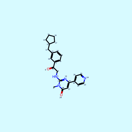 Cn1c(NCC(=O)c2cccc(CC3CCCC3)c2)nc(-c2ccncc2)cc1=O